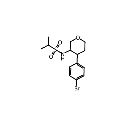 CC(C)S(=O)(=O)NC1COCCC1c1ccc(Br)cc1